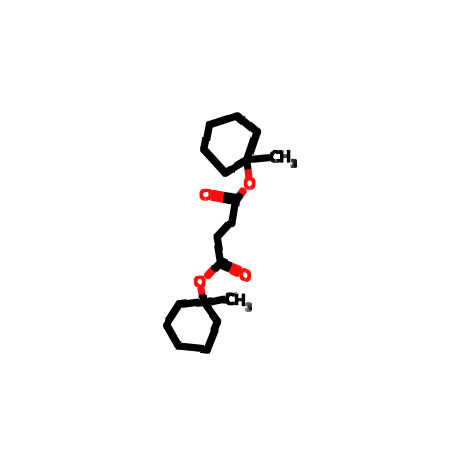 CC1(OC(=O)CCC(=O)OC2(C)CCCCC2)CCCCC1